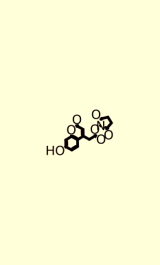 O=C(Cc1cc(=O)oc2cc(O)ccc12)ON1C(=O)CCC1=O